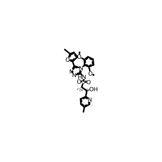 COc1cccc(OC)c1-n1c(NS(=O)(=O)[C@@H](C)[C@H](O)c2ccc(C)cn2)nnc1-c1ccc(C)o1